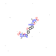 CC[C@H](C)N(Cc1ncc(-c2ccc3c(c2)COc2cc4c(ccc5nc(CN(C(=O)[C@H](C)NC(=O)OC)[C@@H](C)CC)[nH]c54)cc2-3)[nH]1)C(=O)[C@H](C)NC(=O)OC